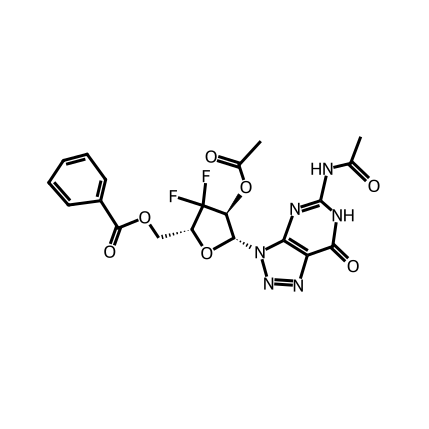 CC(=O)Nc1nc2c(nnn2[C@@H]2O[C@H](COC(=O)c3ccccc3)C(F)(F)[C@H]2OC(C)=O)c(=O)[nH]1